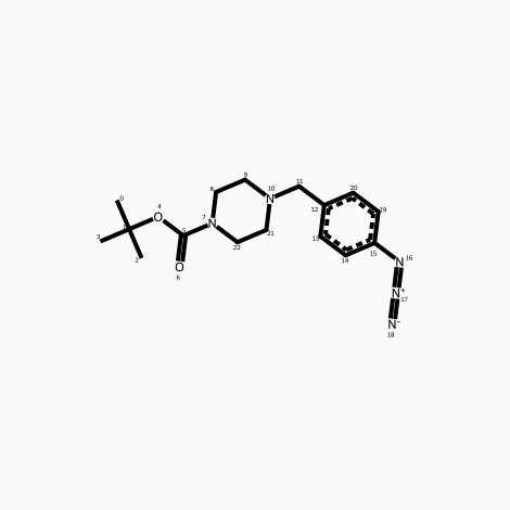 CC(C)(C)OC(=O)N1CCN(Cc2ccc(N=[N+]=[N-])cc2)CC1